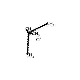 CCCCCCCCCCCCCCCCCC[N+](CCCC)(CCCC)CCCCCCCCCCCCCCCCCC.[Cl-]